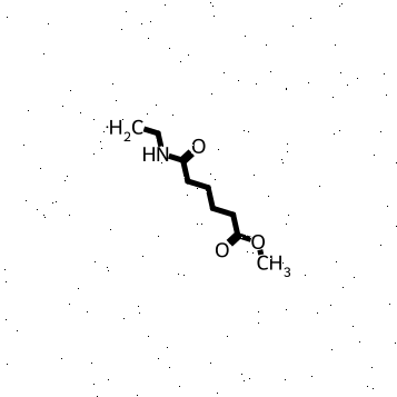 [CH2]CNC(=O)CCCCC(=O)OC